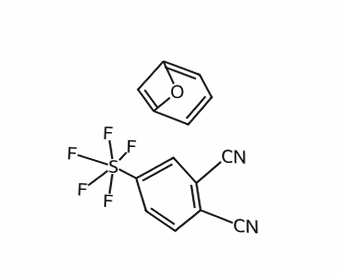 N#Cc1ccc(S(F)(F)(F)(F)F)cc1C#N.c1cc2cc(c1)O2